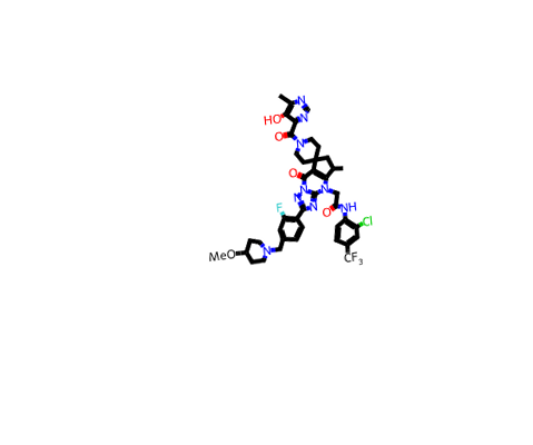 COC1CCN(Cc2ccc(-c3nc4n(CC(=O)Nc5ccc(C(F)(F)F)cc5Cl)c5c(c(=O)n4n3)C3(CCN(C(=O)c4ncnc(C)c4O)CC3)CC5C)c(F)c2)CC1